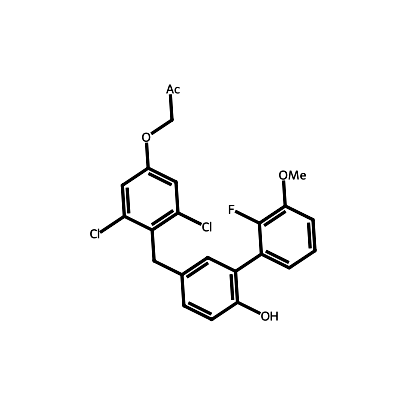 COc1cccc(-c2cc(Cc3c(Cl)cc(OCC(C)=O)cc3Cl)ccc2O)c1F